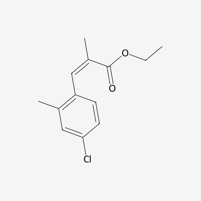 CCOC(=O)C(C)=Cc1ccc(Cl)cc1C